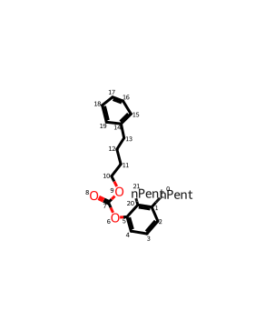 CCCCCc1cccc(OC(=O)OCCCCc2ccccc2)c1CCCCC